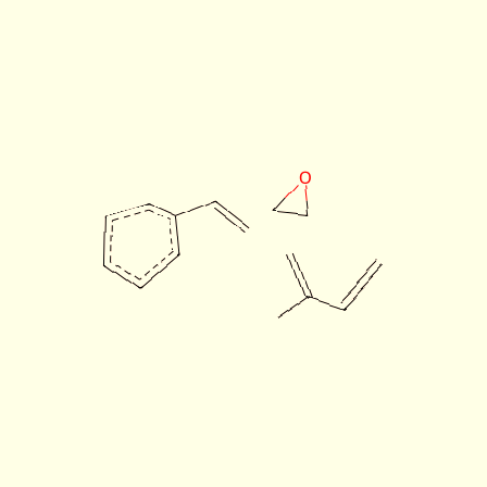 C1CO1.C=CC(=C)C.C=Cc1ccccc1